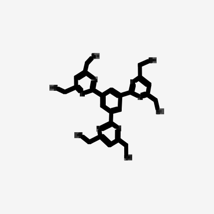 SCc1cc(CS)nc(-c2cc(-c3nc(CS)cc(CS)n3)cc(-c3nc(CS)cc(CS)n3)c2)n1